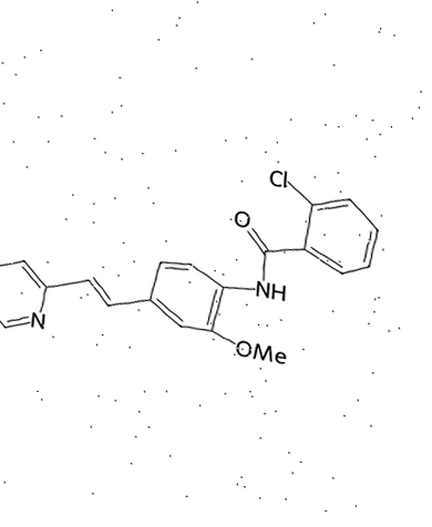 COc1cc(C=Cc2ccccn2)ccc1NC(=O)c1ccccc1Cl